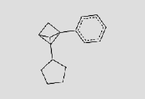 c1ccc(C23CC(C2)C3C2CCCC2)cc1